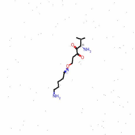 CC(C)[C@H](N)C(=O)C(=O)CCO/N=C/CCCCN